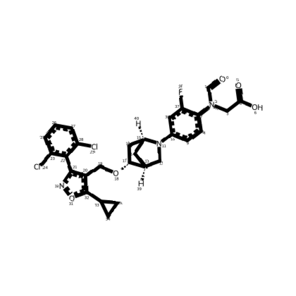 O=CN(CC(=O)O)c1ccc(N2C[C@@H]3C[C@H]2C[C@H]3OCc2c(-c3c(Cl)cccc3Cl)noc2C2CC2)cc1F